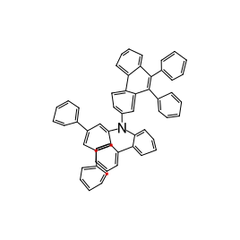 c1ccc(-c2cc(-c3ccccc3)cc(N(c3ccc4c(c3)c(-c3ccccc3)c(-c3ccccc3)c3ccccc34)c3ccccc3-c3ccccc3)c2)cc1